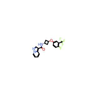 O=C(N[C@H]1C[C@H](Oc2ccc(F)c(C(F)(F)F)c2)C1)c1cnn2ccccc12